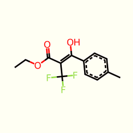 CCOC(=O)/C(=C(\O)c1ccc(C)cc1)C(F)(F)F